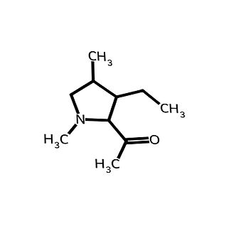 CCC1C(C)CN(C)C1C(C)=O